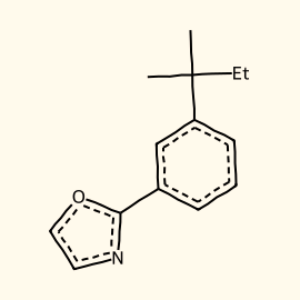 CCC(C)(C)c1cccc(-c2ncco2)c1